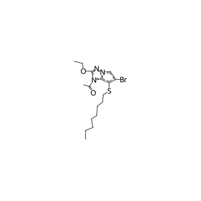 CCCCCCCCSc1c(Br)cn2nc(OCC)n(C(C)=O)c12